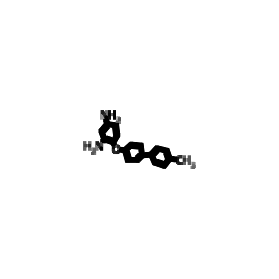 Cc1ccc(-c2ccc(Oc3ccc(N)cc3N)cc2)cc1